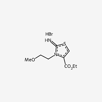 Br.CCOC(=O)c1csc(=N)n1CCOC